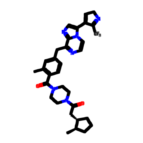 Cc1cc(Cc2nccn3c(C4=CCN=C4C(F)(F)F)cnc23)ccc1C(=O)N1CCN(C(=O)C[C@@H]2CCC[C@H]2C)CC1